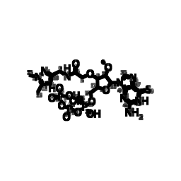 COC1C(OCC(=O)NCc2cc(C)n(C)n2)C(COP(=O)(O)OP(=O)(O)OP(=O)(O)O)OC1n1cnc2c(=S)[nH]c(N)nc21